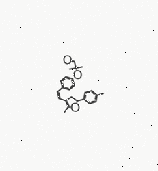 CC1=C(/C=C\c2ccc(OC(C)(C)C=O)cc2)CC(c2ccc(C)cc2)O1